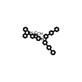 C[Si]1(C)c2cc(-c3cc4ccccc4c4ccccc34)ccc2-c2ccc(-n3c4ccc(-c5ccc(-c6ccccc6)cc5)cc4c4cc(-c5ccc(-c6ccccc6)cc5)ccc43)cc21